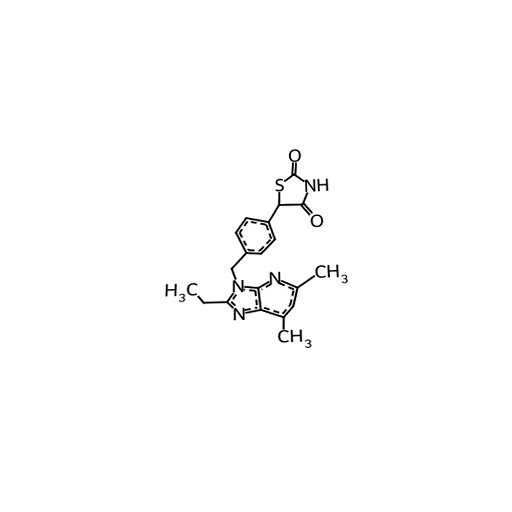 CCc1nc2c(C)cc(C)nc2n1Cc1ccc(C2SC(=O)NC2=O)cc1